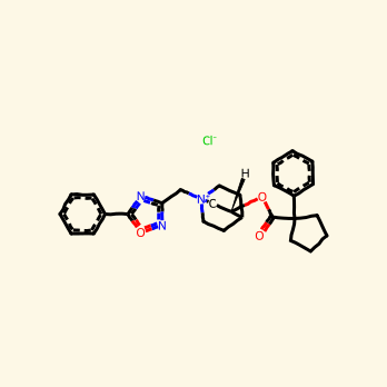 O=C(O[C@H]1C[N+]2(Cc3noc(-c4ccccc4)n3)CCC1CC2)C1(c2ccccc2)CCCC1.[Cl-]